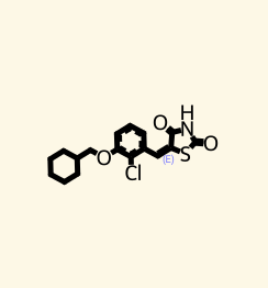 O=C1NC(=O)/C(=C\c2cccc(OCC3CCCCC3)c2Cl)S1